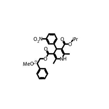 CO[C@H](COC(=O)C1=C(C)NC(C)=C(C(=O)OC(C)C)C1c1cccc([N+](=O)[O-])c1)c1ccccc1